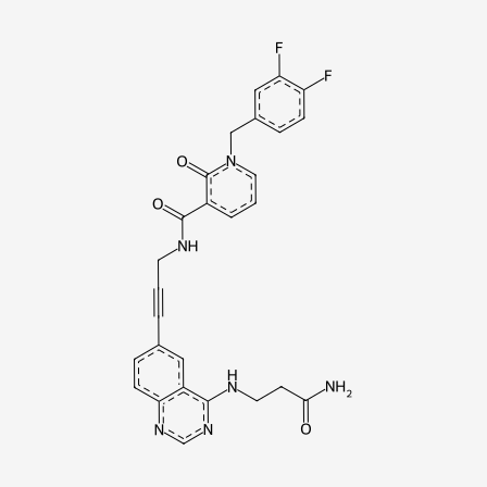 NC(=O)CCNc1ncnc2ccc(C#CCNC(=O)c3cccn(Cc4ccc(F)c(F)c4)c3=O)cc12